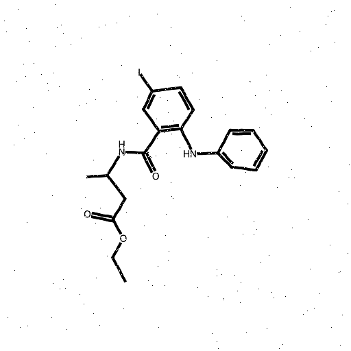 CCOC(=O)CC(C)NC(=O)c1cc(I)ccc1Nc1ccccc1